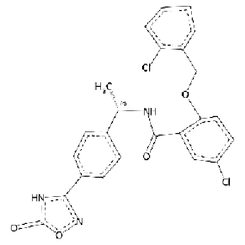 C[C@H](NC(=O)c1cc(Cl)ccc1OCc1ccccc1Cl)c1ccc(-c2noc(=O)[nH]2)cc1